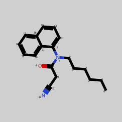 CCCCCCN(C(=O)CC#N)c1cccc2ccccc12